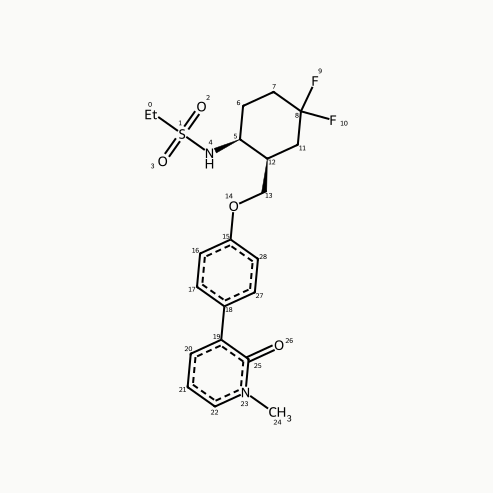 CCS(=O)(=O)N[C@H]1CCC(F)(F)C[C@H]1COc1ccc(-c2cccn(C)c2=O)cc1